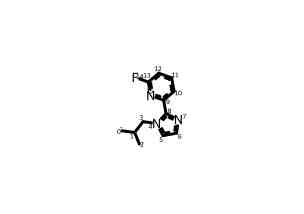 [CH2]C(C)Cn1ccnc1-c1cccc(F)n1